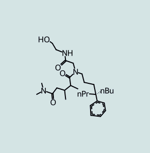 CCCC[C@](CCC)(CCCN(CC(=O)NCCO)C(=O)C(C)C(C)CC(=O)N(C)C)c1ccccc1